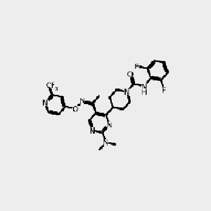 CC(=NOc1ccnc(C(F)(F)F)c1)c1cnc(N(C)C)nc1C1CCN(C(=O)Nc2c(F)cccc2F)CC1